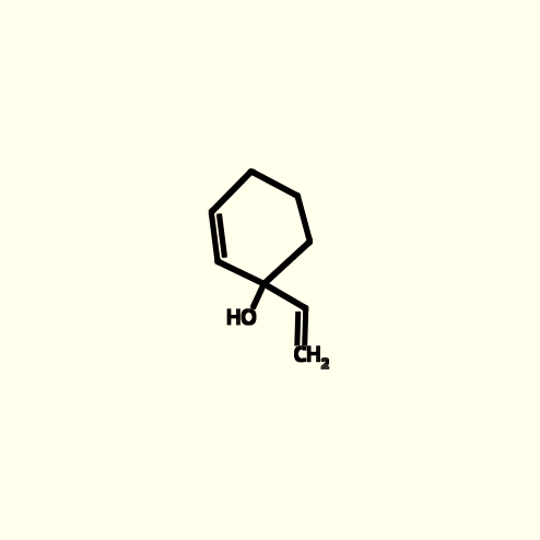 C=CC1(O)C=CCCC1